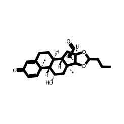 CCCC1O[C@@H]2C[C@H]3[C@@H]4CCC5=CC(=O)C=C[C@]5(C)[C@H]4[C@@H](O)C[C@]3(C)[C@]2(C(=O)C=O)O1